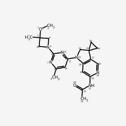 COC1(C)CN(c2nc(C)cc(N3CC4(CC4)c4cnc(NC(C)=O)cc43)n2)C1